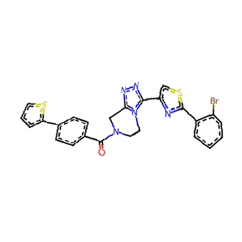 O=C(c1ccc(-c2cccs2)cc1)N1CCn2c(nnc2-c2csc(-c3ccccc3Br)n2)C1